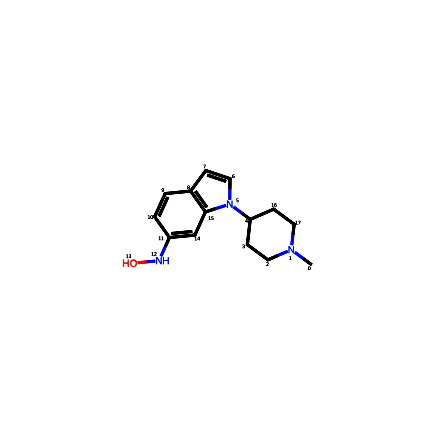 CN1CCC(n2ccc3ccc(NO)cc32)CC1